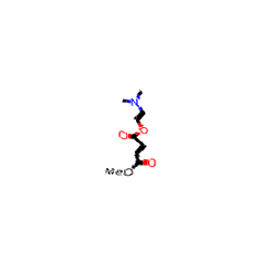 COC(=O)/C=C/C(=O)OCCN(C)C